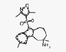 Cc1ccc2c(c1)c1c(n2S(=O)(=O)c2c(C)noc2C)CCCC(C)(N)C1